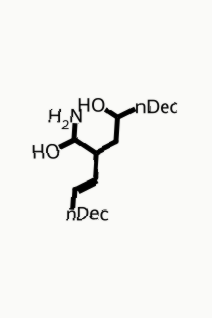 CCCCCCCCCCC=CC(CC(O)CCCCCCCCCC)C(N)O